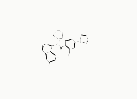 Cc1cn(-c2ccc(C(=O)N(c3nccc4cc(Cl)cc(C)c34)[C@@H]3CCCNC3)c(F)c2)nn1